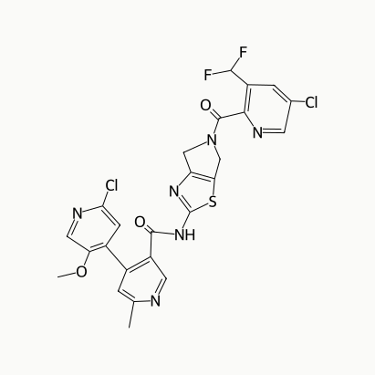 COc1cnc(Cl)cc1-c1cc(C)ncc1C(=O)Nc1nc2c(s1)CN(C(=O)c1ncc(Cl)cc1C(F)F)C2